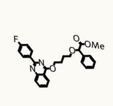 COC(=O)C(OCCCCOc1nc(-c2ccc(F)cc2)nc2ccccc12)c1ccccc1